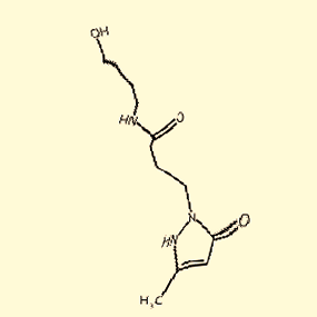 Cc1cc(=O)n(CCC(=O)NCCO)[nH]1